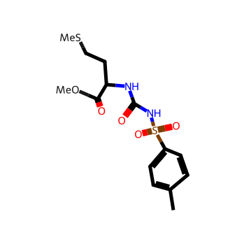 COC(=O)C(CCSC)NC(=O)NS(=O)(=O)c1ccc(C)cc1